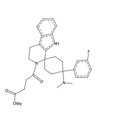 COC(=O)CCC(=O)N1CCc2c([nH]c3ccccc23)C12CCC(c1cccc(F)c1)(N(C)C)CC2